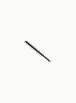 [CH2]CC/C=C/CCCCCCCCCCCCCCCCCCCCCCCCC